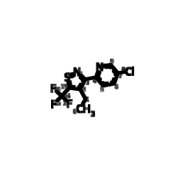 CCc1c(-c2ccc(Cl)cn2)nsc1C(F)(F)F